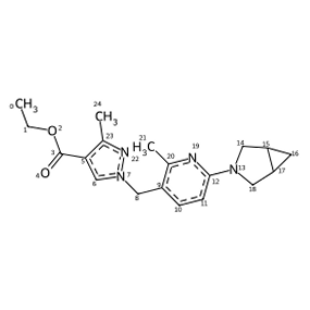 CCOC(=O)c1cn(Cc2ccc(N3CC4CC4C3)nc2C)nc1C